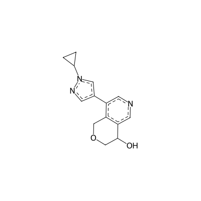 OC1COCc2c(-c3cnn(C4CC4)c3)cncc21